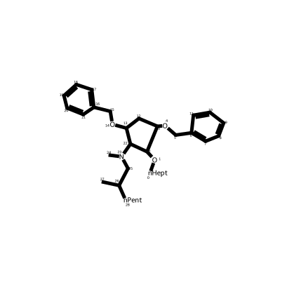 CCCCCCCOC1C(OCc2ccccc2)CC(OCc2ccccc2)C1N(C)CC(C)CCCCC